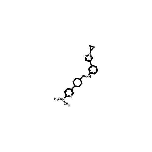 CN(C)c1ccc(C2CCC(CNc3cccc(-c4cnn(C5CC5)c4)c3)CC2)cn1